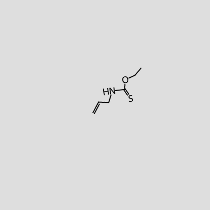 C=CCNC(=S)OCC